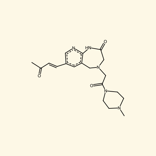 CC(=O)/C=C/c1cnc2c(c1)CN(CC(=O)N1CCN(C)CC1)CC(=O)N2